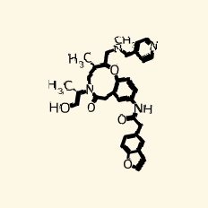 C[C@@H]1CN([C@@H](C)CO)C(=O)Cc2cc(NC(=O)Cc3ccc4occc4c3)ccc2OC1CN(C)Cc1ccncc1